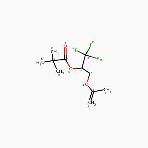 C=C(C)OCC(OC(=O)C(C)(C)C)C(F)(F)F